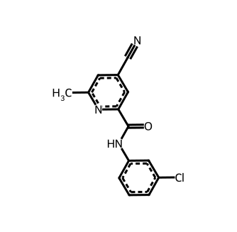 Cc1cc(C#N)cc(C(=O)Nc2cccc(Cl)c2)n1